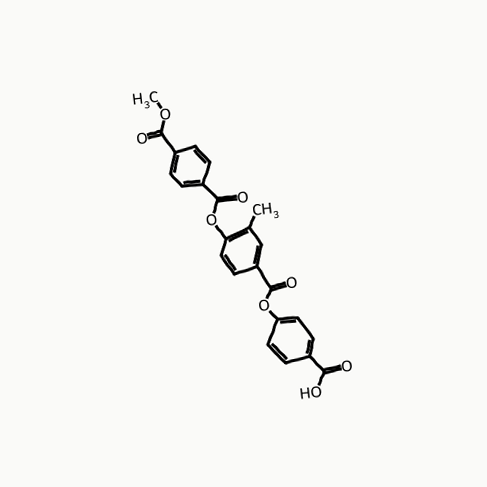 COC(=O)c1ccc(C(=O)Oc2ccc(C(=O)Oc3ccc(C(=O)O)cc3)cc2C)cc1